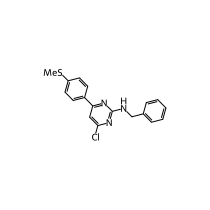 CSc1ccc(-c2cc(Cl)nc(NCc3ccccc3)n2)cc1